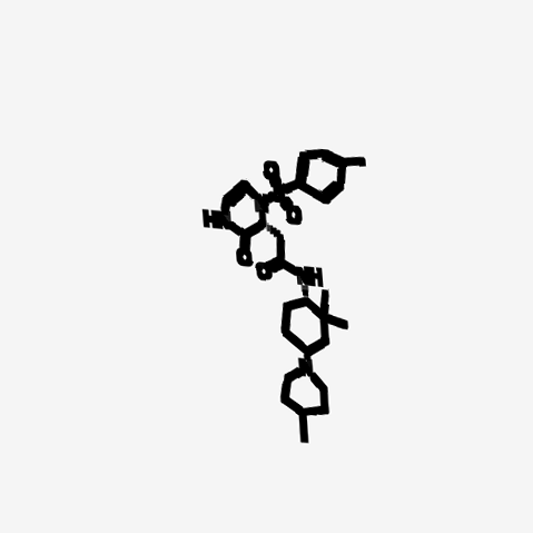 Cc1ccc(S(=O)(=O)N2C=CNC(=O)[C@H]2CC(=O)N[C@H]2CC[C@@H](N3CCC(C)CC3)CC2(C)C)cc1